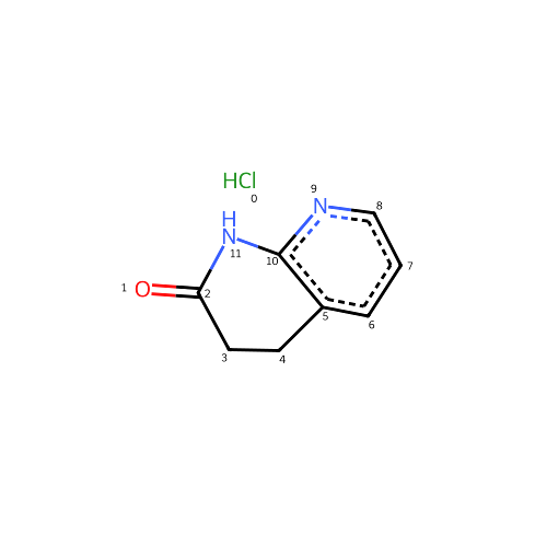 Cl.O=C1CCc2cccnc2N1